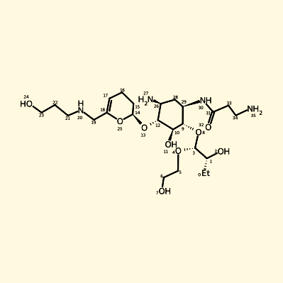 CC[C@@H](O)[C@H](OCCO)O[C@@H]1[C@@H](O)[C@H](O[C@@H]2CCC=C(CNCCCO)O2)[C@@H](N)C[C@H]1NC(=O)CCN